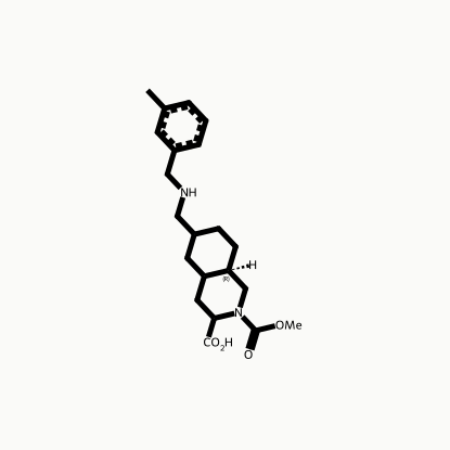 COC(=O)N1C[C@@H]2CCC(CNCc3cccc(C)c3)CC2CC1C(=O)O